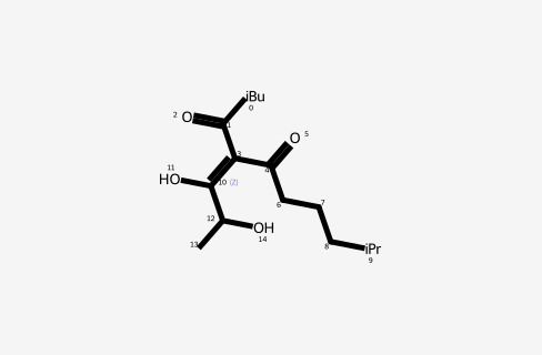 CCC(C)C(=O)/C(C(=O)CCCC(C)C)=C(\O)C(C)O